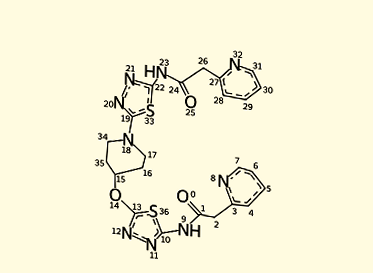 O=C(Cc1ccccn1)Nc1nnc(OC2CCN(c3nnc(NC(=O)Cc4ccccn4)s3)CC2)s1